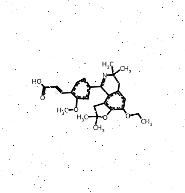 CCOc1cc2c(c3c1OC(C)(C)C3)C(c1ccc(/C=C/C(=O)O)c(OC)c1)=NC(C)(C)C2